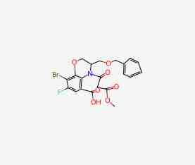 COC(=O)CC(=O)N1c2c(C(=O)O)cc(F)c(Br)c2OCC1COCc1ccccc1